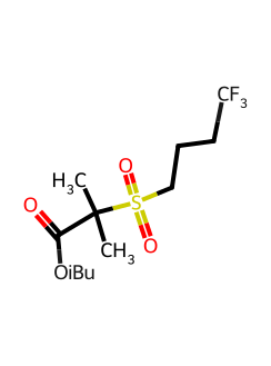 CC(C)COC(=O)C(C)(C)S(=O)(=O)CCCC(F)(F)F